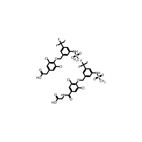 CS(=O)(=O)Nc1cc(COc2c(Cl)cc(C(=O)NCC(=O)O)cc2Cl)cc(C(F)(F)F)c1.CS(=O)(=O)Nc1cc(COc2c(Cl)cc(CC(=O)O)cc2Cl)cc(C(F)(F)F)c1